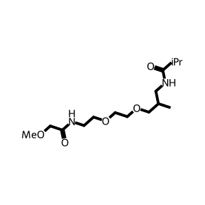 COCC(=O)NCCOCCOCC(C)CNC(=O)C(C)C